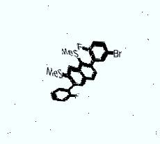 CSc1cc2c(SC)c(-c3cc(Br)ccc3F)ccc2cc1-c1ccccc1F